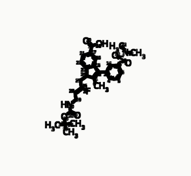 CC1=C(c2cccc(S(=O)(=O)N(C)C)c2)c2cc(C(=O)O)ccc2C1C/C(F)=C/CNC(=O)OC(C)(C)C